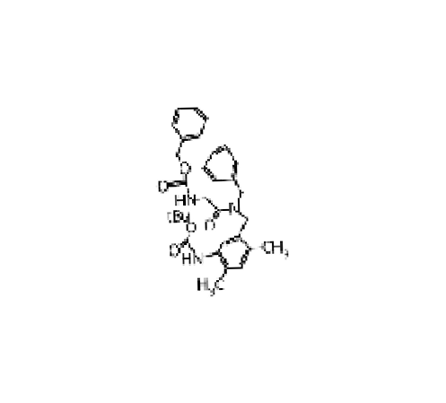 Cc1cc(C)c(NC(=O)OC(C)(C)C)cc1CN(Cc1ccccc1)C(=O)CNC(=O)OCc1ccccc1